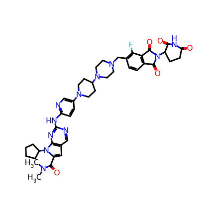 CN(C)C(=O)c1cc2cnc(Nc3ccc(N4CCC(N5CCN(Cc6ccc7c(c6F)C(=O)N(C6CCC(=O)NC6=O)C7=O)CC5)CC4)cn3)nc2n1C1CCCC1